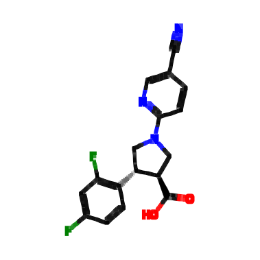 N#Cc1ccc(N2C[C@@H](C(=O)O)[C@H](c3ccc(F)cc3F)C2)nc1